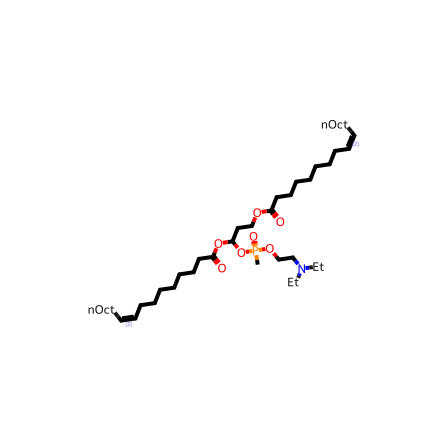 CCCCCCCC/C=C\CCCCCCCC(=O)OCCC(OC(=O)CCCCCCC/C=C\CCCCCCCC)OP(C)(=O)OCCN(CC)CC